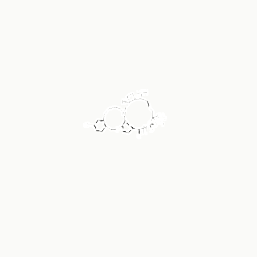 CC1(C)C/C=C/[C@H](O)[C@@H]2CC[C@H]2CN2CCCCc3cc(Cl)ccc3COc3ccc(cc32)C(=O)NS1(=O)=O